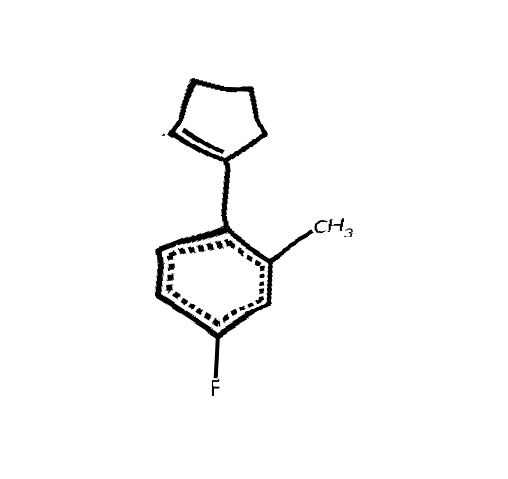 Cc1cc(F)ccc1C1=[C]CCC1